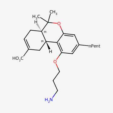 CCCCCc1cc(OCCCN)c2c(c1)OC(C)(C)[C@@H]1CC=C(C(=O)O)C[C@@H]21